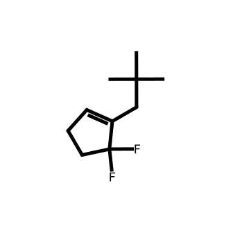 CC(C)(C)CC1=CCCC1(F)F